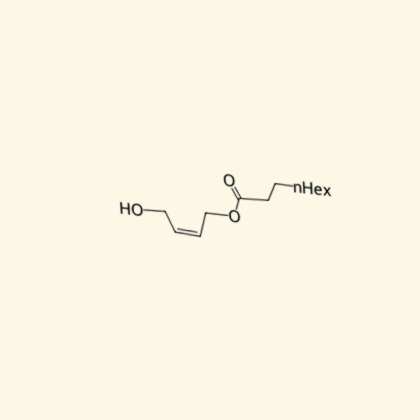 CCCCCCCCC(=O)OC/C=C\CO